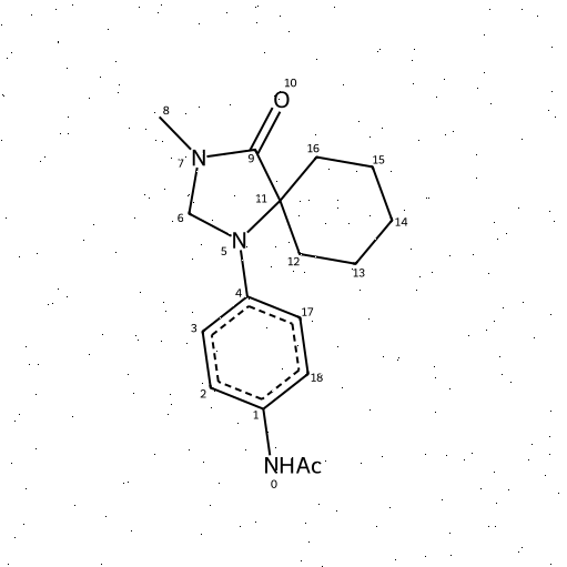 CC(=O)Nc1ccc(N2CN(C)C(=O)C23CCCCC3)cc1